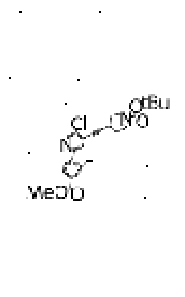 COC(=O)c1ccc(-c2cc(C#CC3CCN(C(=O)OC(C)(C)C)CC3)c(Cl)cn2)c(F)c1